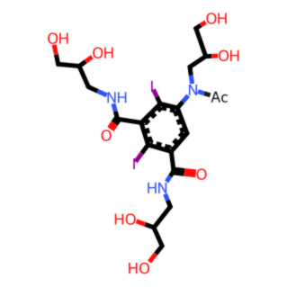 CC(=O)N(CC(O)CO)c1cc(C(=O)NCC(O)CO)c(I)c(C(=O)NCC(O)CO)c1I